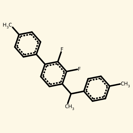 Cc1ccc(-c2ccc(C(C)c3ccc(C)cc3)c(F)c2F)cc1